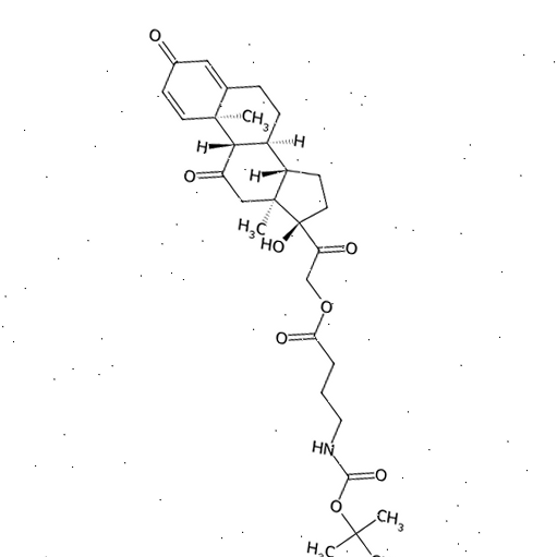 CC(C)(C)OC(=O)NCCCC(=O)OCC(=O)[C@@]1(O)CC[C@H]2[C@@H]3CCC4=CC(=O)C=C[C@]4(C)[C@H]3C(=O)C[C@@]21C